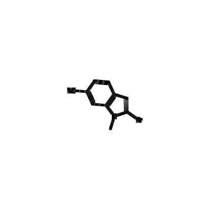 Cn1c(Br)cc2ccc(C#N)cc21